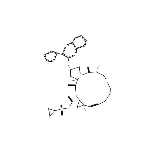 N[C@H]1CCCCC/C=C\[C@@H]2C[C@@]2(C(=O)NS(=O)(=O)C2CC2)NC(=O)[C@@H]2C[C@@H](Oc3nc4ccccc4nc3-c3cccs3)CN2C1=O